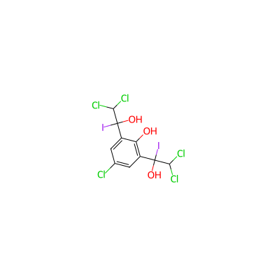 Oc1c(C(O)(I)C(Cl)Cl)cc(Cl)cc1C(O)(I)C(Cl)Cl